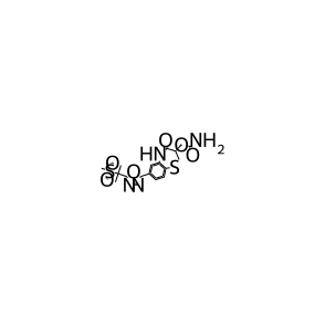 CC(C)(c1nnc(-c2ccc3c(c2)NC(=O)[C@@H](OC(N)=O)CS3)o1)S(C)(=O)=O